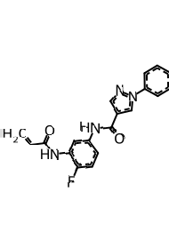 C=CC(=O)Nc1cc(NC(=O)c2cnn(-c3ccccc3)c2)ccc1F